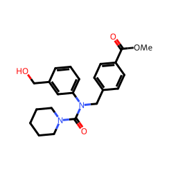 COC(=O)c1ccc(CN(C(=O)N2CCCCC2)c2cccc(CO)c2)cc1